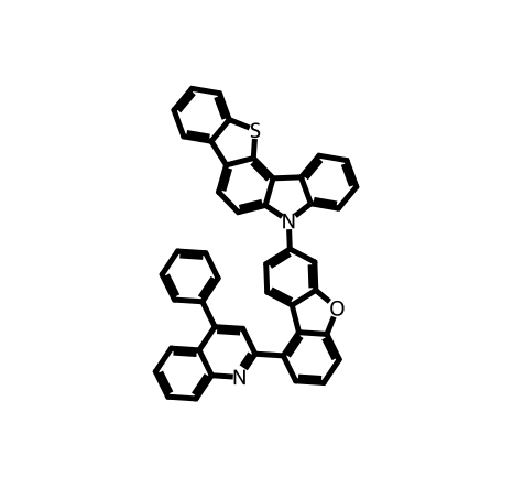 c1ccc(-c2cc(-c3cccc4oc5cc(-n6c7ccccc7c7c8sc9ccccc9c8ccc76)ccc5c34)nc3ccccc23)cc1